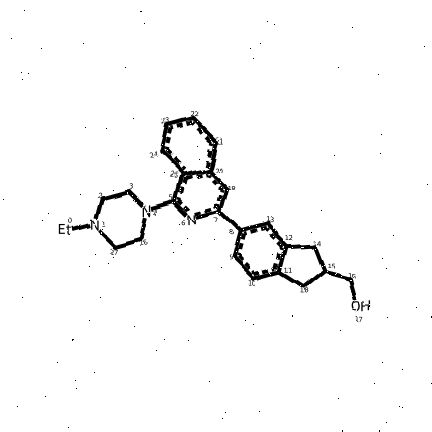 CCN1CCN(c2nc(-c3ccc4c(c3)CC(CO)C4)cc3ccccc23)CC1